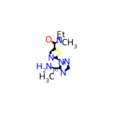 CCN(C)C(=O)c1cnc(-n2ncnc2[C@H](C)N)s1